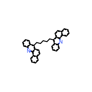 c1ccc2c(c1)ccc1c(CCCCCc3c4ccccc4nc4c3ccc3ccccc34)c3ccccc3nc12